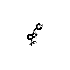 O=[N+]([O-])c1cccc2c1ncn2Cc1ccncc1